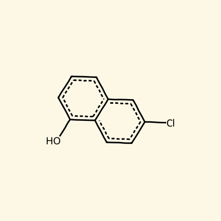 Oc1cccc2cc(Cl)ccc12